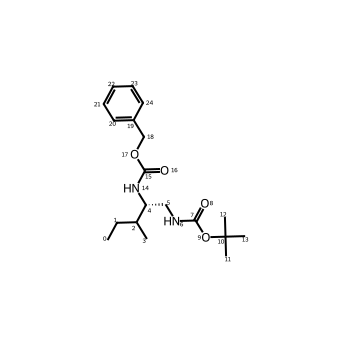 CCC(C)[C@@H](CNC(=O)OC(C)(C)C)NC(=O)OCc1ccccc1